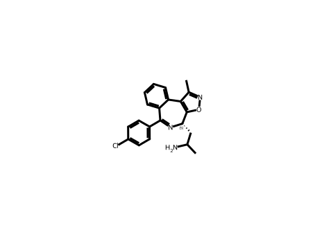 Cc1noc2c1-c1ccccc1C(c1ccc(Cl)cc1)=N[C@H]2CC(C)N